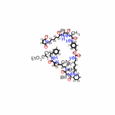 CCOC(=O)[C@@H](C)C[C@H](Cc1ccccc1)NC(=O)c1csc([C@@H](C[C@H](C(C)C)N(C)C(=O)[C@@H](NC(=O)[C@H]2CCCCN2CCCCCCNC(=O)OCc2ccc(NC(=O)[C@H](C)NC(=O)[C@@H](NC(=O)CCCCCN3C(=O)C=CC3=O)C(C)C)cc2)[C@@H](C)CC)OC(C)=O)n1